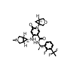 C[C@@H](NC(=O)c1cn([C@]23COC[C@H]2C3)c(=O)cc1N[C@@H]1[C@@H]2CN(C)C[C@@H]21)c1cccc(C(C)(F)F)c1F